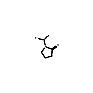 CCN(C)N1CCCC1=O